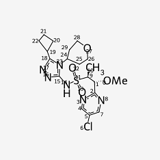 CO[C@H](c1ncc(Cl)cn1)[C@H](C)S(=O)(=O)Nc1nnc(C2CCC2)n1C1CCOCC1